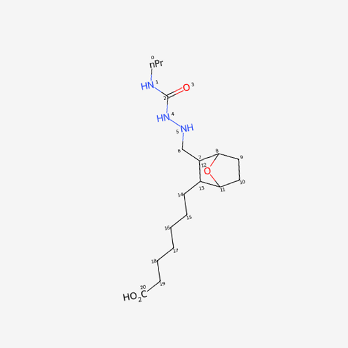 CCCNC(=O)NNCC1C2CCC(O2)C1CCCCCCC(=O)O